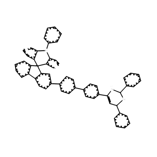 C1=C(c2ccc(-c3ccc(-c4ccc5c(c4)C4(c6ccccc6-5)c5ccccc5N(c5ccccc5)c5ccccc54)cc3)cc2)NC(c2ccccc2)NC1c1ccccc1